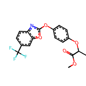 COC(=O)C(C)Oc1ccc(Oc2nc3ccc(C(F)(F)F)cc3o2)cc1